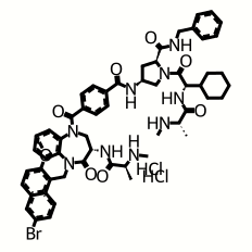 CN[C@@H](C)C(=O)N[C@H]1CN(C(=O)c2ccc(C(=O)N[C@H]3C[C@@H](C(=O)NCc4ccccc4)N(C(=O)[C@@H](NC(=O)[C@H](C)NC)C4CCCCC4)C3)cc2)c2ccccc2N(Cc2c(OC)ccc3cc(Br)ccc23)C1=O.Cl.Cl